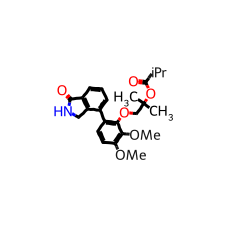 COc1ccc(-c2cccc3c2CNC3=O)c(OCC(C)(C)OC(=O)C(C)C)c1OC